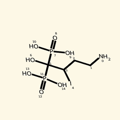 NCCC(I)C(O)(P(=O)(O)O)P(=O)(O)O